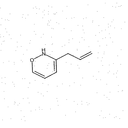 C=CCC1=CC=CON1